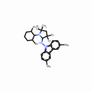 CCC1(CC)CC(C)(C)N(C2C(C(C)C)CCCC2C(C)C)C1Nn1c2ccc(C(C)(C)C)cc2c2cc(C(C)(C)C)ccc21